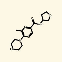 Cc1nc(C(=O)NC2CCOC2)ccc1N1CCNCC1